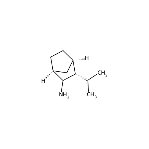 CC(C)[C@@H]1C(N)[C@H]2CC[C@@H]1C2